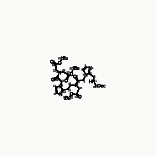 CCCCCCCCCCNCc1nccn1CC(=O)N(CCc1nccn1CC(=O)N(CC(=O)OC(C)(C)C)CC(=O)OC(C)(C)C)CC(=O)OC(C)(C)C